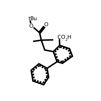 CC(C)(C)OC(=O)C(C)(C)Cc1c(C(=O)O)cccc1-c1ccccc1